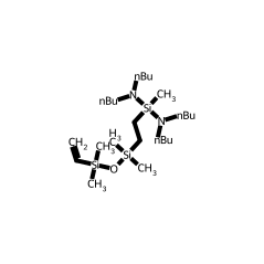 C=C[Si](C)(C)O[Si](C)(C)CC[Si](C)(N(CCCC)CCCC)N(CCCC)CCCC